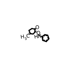 C[C@H]1CCC(=O)[C@H](ONc2ccccc2)C1